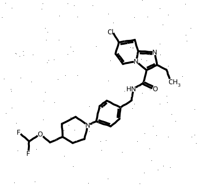 CCc1nc2cc(Cl)ccn2c1C(=O)NCc1ccc(N2CCC(COC(F)F)CC2)cc1